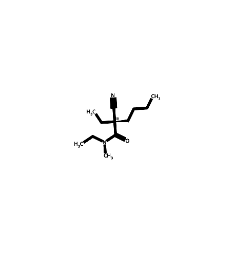 CCCC[C@](C#N)(CC)C(=O)N(C)CC